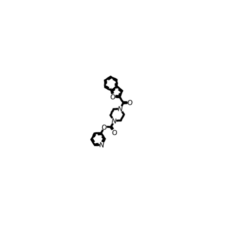 O=C(Oc1cccnc1)N1CCN(C(=O)c2cc3ccccc3o2)CC1